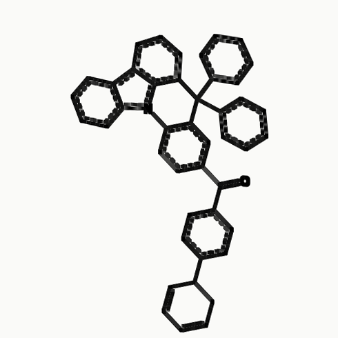 O=C(c1ccc(C2C=CC=CC2)cc1)c1ccc2c(c1)C(c1ccccc1)(c1ccccc1)c1cccc3c4ccccc4n-2c13